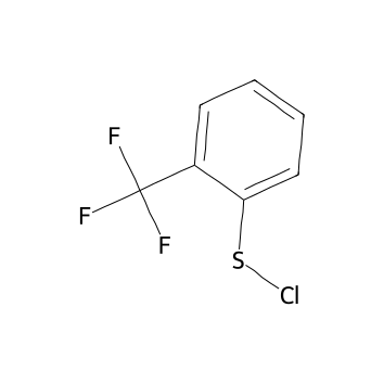 FC(F)(F)c1ccccc1SCl